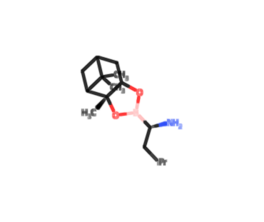 CC(C)C[C@H](N)B1OC2CC3CC(C3(C)C)[C@@]2(C)O1